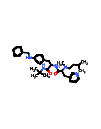 CC(C)CCN(C)C(Cc1cccnc1)C(=O)NC(Cc1ccc(NCc2ccccc2)cc1)C(=O)NC(C)(C)C